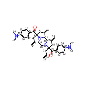 C=CCC(CC=C)(C(=O)c1ccc(N(C)C)cc1)N1CCN(C(CC=C)(CC=C)C(=O)c2ccc(N(C)C)cc2)CC1